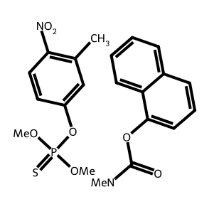 CNC(=O)Oc1cccc2ccccc12.COP(=S)(OC)Oc1ccc([N+](=O)[O-])c(C)c1